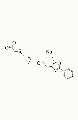 C/C(=C\CSCC(=O)[O-])COCCc1nc(-c2ccccc2)oc1C.[Na+]